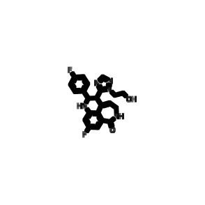 O=C1NCC=C2c3c(cc(F)cc31)NC(c1ccc(F)cc1)C2c1ncnn1CCO